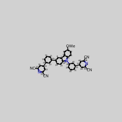 COc1ccc2c(c1)c1cc(-c3cccc(-c4cc(C#N)nc(C#N)c4)c3)ccc1n2-c1cccc(-c2cc(C#N)nc(C#N)c2)c1